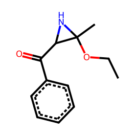 CCOC1(C)NC1C(=O)c1ccccc1